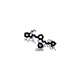 C=C(/C=C/C1=C(Sc2ccc(OC)cc2)C(=C/C=C2/N(CCC)c3ccccc3C2(C)C)/CCC1)C(C)(C)c1ccccc1C